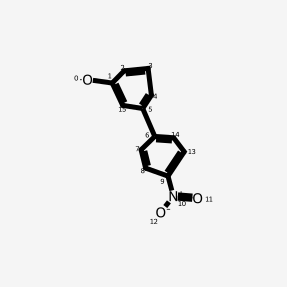 [O]c1cccc(-c2ccc([N+](=O)[O-])cc2)c1